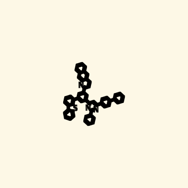 c1ccc(-c2ccc(-c3cc(-c4cc(-c5ccc6cc7ccccc7cc6n5)cc(-c5cccc6c5sc5ccccc56)c4)nc(-c4ccccc4)n3)cc2)cc1